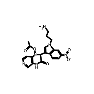 CC(=O)ON1c2ccncc2NC(=O)C1c1cn(CCCN)c2cc([N+](=O)[O-])ccc12